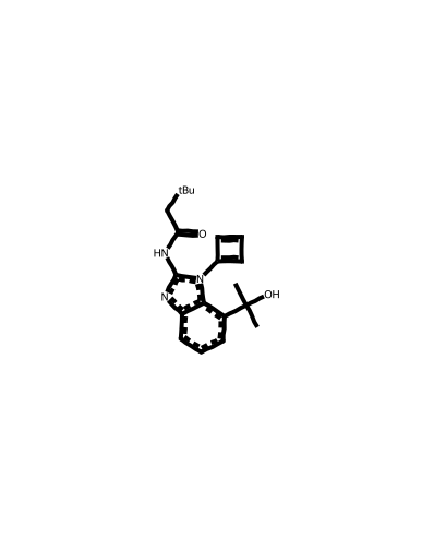 CC(C)(C)CC(=O)Nc1nc2cccc(C(C)(C)O)c2n1C1=CC=C1